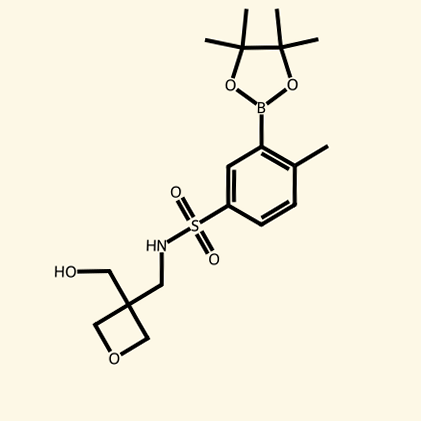 Cc1ccc(S(=O)(=O)NCC2(CO)COC2)cc1B1OC(C)(C)C(C)(C)O1